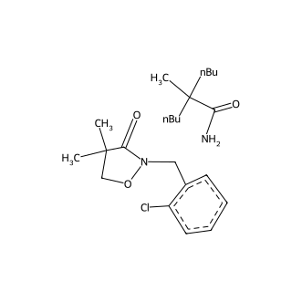 CC1(C)CON(Cc2ccccc2Cl)C1=O.CCCCC(C)(CCCC)C(N)=O